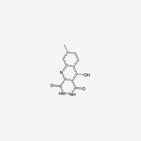 Cc1ccc2c(O)c3c(=O)[nH][nH]c(=O)c3nc2c1